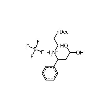 CCCCCCCCCCCC[NH2+]C(CC(O)O)c1ccccc1.F[B-](F)(F)F